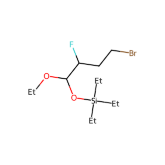 CCOC(O[Si](CC)(CC)CC)C(F)CCBr